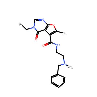 Cc1oc2ncn(CC(C)C)c(=O)c2c1C(=O)NCCN(C)Cc1ccccc1